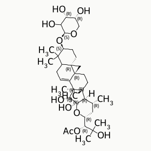 CC(=O)O[C@H]([C@H]1C[C@@H](C)[C@H]2[C@@](O)(O1)[C@H](O)[C@@]1(C)C3=CCC4C(C)(C)[C@@H](O[C@@H]5OC[C@@H](O)[C@@H](O)C5O)CC[C@@]45C[C@@]35CC[C@]21C)C(C)(C)O